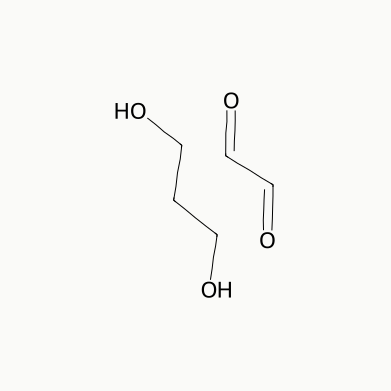 O=CC=O.OCCCO